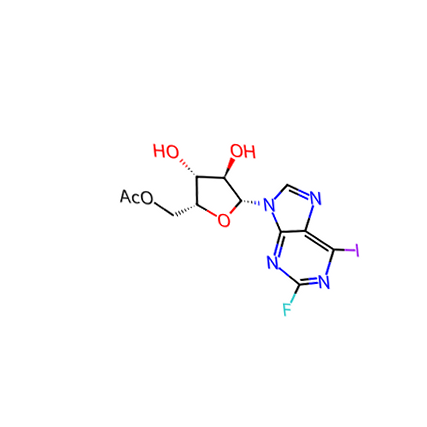 CC(=O)OC[C@H]1O[C@@H](n2cnc3c(I)nc(F)nc32)[C@H](O)[C@H]1O